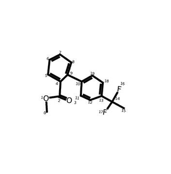 COC(=O)c1ccccc1-c1ccc(C(C)(F)F)cc1